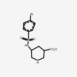 CC(C)c1ccc(S(=O)(=O)NC2CNCC(C(=O)O)C2)cc1